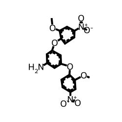 COc1cc([N+](=O)[O-])ccc1Oc1cc(N)cc(Oc2ccc([N+](=O)[O-])cc2OC)c1